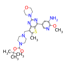 COc1ncc(-c2nc(N3CCOCC3)nc3c(CN4CCN(C(=O)OC(C)(C)C)CC4)c(C)sc23)cc1N